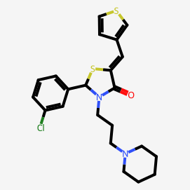 O=C1/C(=C/c2ccsc2)SC(c2cccc(Cl)c2)N1CCCN1CCCCC1